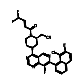 N#CC[C@H]1CN(c2ncnc3c(F)c(-c4cccc5ccc(F)c(Cl)c45)ncc23)CCN1C(=O)/C=C/C(F)F